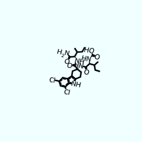 CCC(C)[C@H](NC(=O)[C@@]1(NC(=O)[C@@H](NC(=O)O)C(C)CC)CCc2[nH]c3c(Cl)cc(Cl)cc3c2C1)C(N)=O